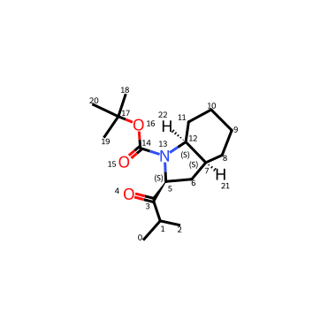 CC(C)C(=O)[C@@H]1C[C@@H]2CCCC[C@@H]2N1C(=O)OC(C)(C)C